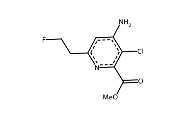 COC(=O)c1nc(CCF)cc(N)c1Cl